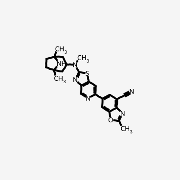 Cc1nc2c(C#N)cc(-c3cc4sc(N(C)C5CC6(C)CCC(C)(C5)N6)nc4cn3)cc2o1